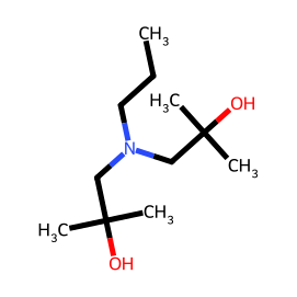 CCCN(CC(C)(C)O)CC(C)(C)O